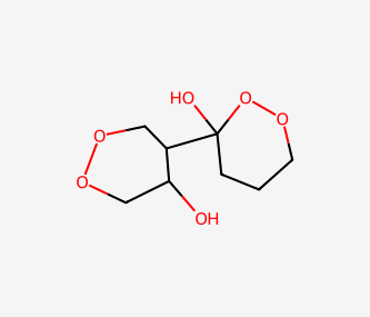 OC1COOCC1C1(O)CCCOO1